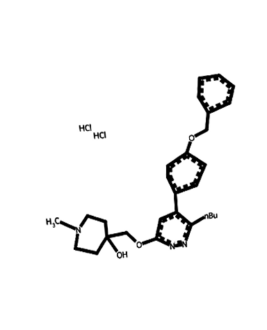 CCCCc1nnc(OCC2(O)CCN(C)CC2)cc1-c1ccc(OCc2ccccc2)cc1.Cl.Cl